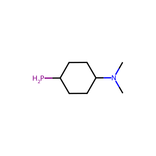 CN(C)C1CCC(P)CC1